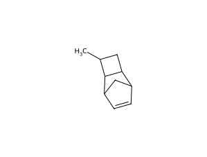 CC1CC2C3C=CC(C3)C12